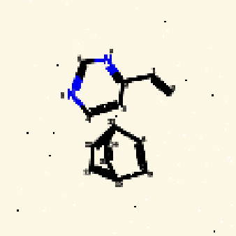 C=Cc1ccncn1.c1cc2ccc1cc2